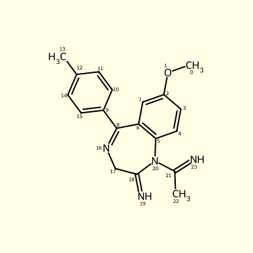 COc1ccc2c(c1)C(c1ccc(C)cc1)=NCC(=N)N2C(C)=N